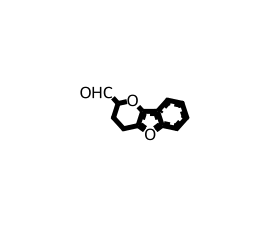 O=CC1CCc2oc3ccccc3c2O1